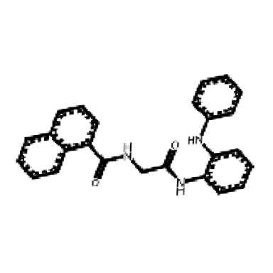 O=C(CNC(=O)c1cccc2ccccc12)Nc1ccccc1Nc1ccccc1